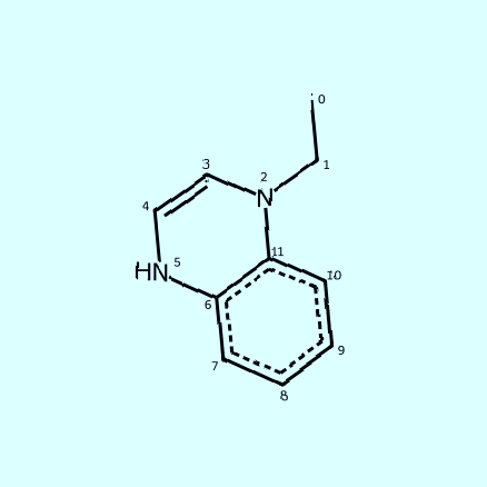 [CH2]CN1[C]=CNc2ccccc21